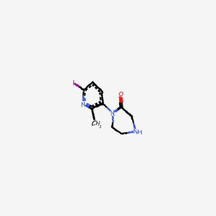 Cc1nc(I)ccc1N1CCNCC1=O